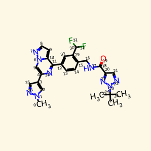 Cn1cc(-c2cn3nccc3c(-c3ccc(CNC(=O)c4cnn(C(C)(C)C)n4)c(C(F)F)c3)n2)cn1